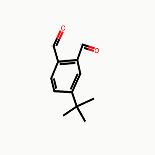 CC(C)(C)c1ccc([C]=O)c([C]=O)c1